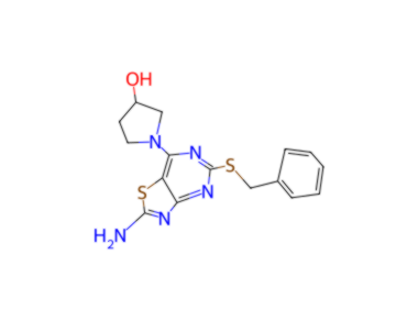 Nc1nc2nc(SCc3ccccc3)nc(N3CCC(O)C3)c2s1